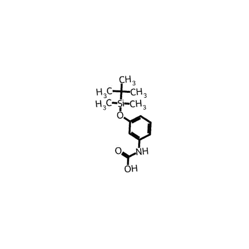 CC(C)(C)[Si](C)(C)Oc1cccc(NC(=O)O)c1